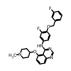 CN1CCC(Oc2cccc3ncnc(Nc4ccc(OCc5cccc(F)c5)c(F)c4)c23)CC1